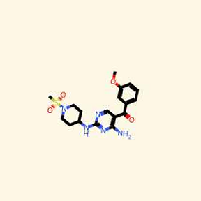 COc1cccc(C(=O)c2cnc(NC3CCN(S(C)(=O)=O)CC3)nc2N)c1